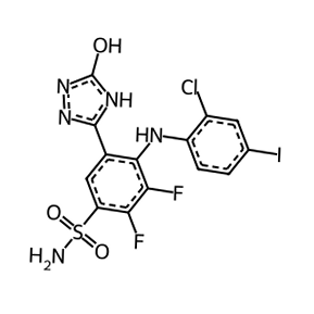 NS(=O)(=O)c1cc(-c2nnc(O)[nH]2)c(Nc2ccc(I)cc2Cl)c(F)c1F